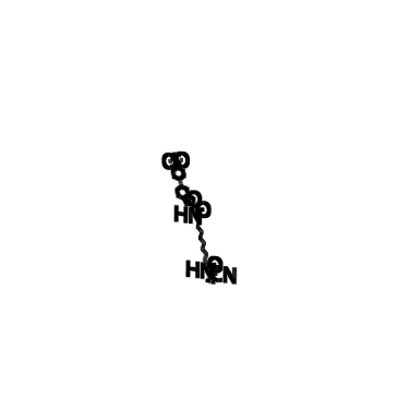 CS(=O)(=O)c1ccc(-c2ccc3cc(C(=O)NCCCCCCCCC(=O)NC4(C#N)CC4)oc3c2)cc1